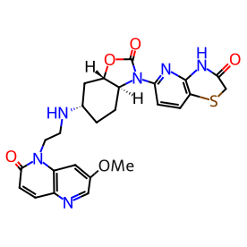 COc1cnc2ccc(=O)n(CCN[C@H]3CC[C@H]4[C@H](C3)OC(=O)N4c3ccc4c(n3)NC(=O)CS4)c2c1